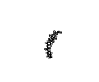 CC(C)(C)OC(=O)N1C[C@@H]2CN(S(=O)(=O)c3ccc(CNC(=O)c4ccc5nccn5c4)cc3)C[C@@H]2C1